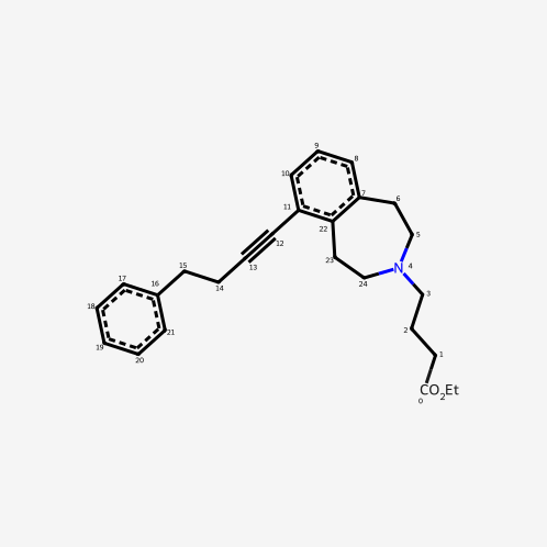 CCOC(=O)CCCN1CCc2cccc(C#CCCc3ccccc3)c2CC1